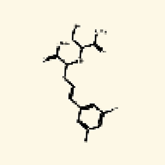 COC(=O)C(CC=Cc1cc(Cl)cc(Cl)c1)NC(CC(C)C)C(=O)OC